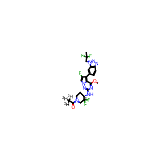 [2H]C([2H])([2H])C(=O)N1CC[C@@H](Nc2nc(OC)c3c(-c4ccc5nnn(CC(C)(F)F)c5c4)c(F)cn3n2)C(F)(F)C1